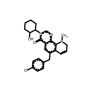 CN1CC=Cc2c(Cc3ccc(Cl)cc3)cc3c(=O)n(C4CCCCC4O)cnc3c21